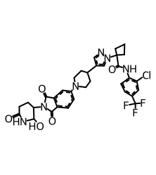 O=C1CCC(N2C(=O)c3ccc(N4CCC(c5cnn(C6(C(=O)Nc7ccc(C(F)(F)F)cc7Cl)CCC6)c5)CC4)cc3C2=O)C(O)N1